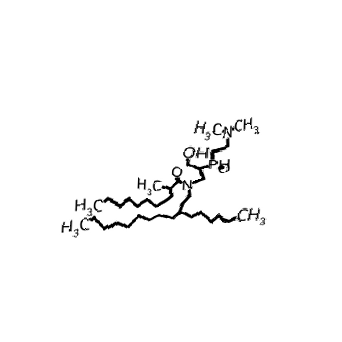 CCCCCCCCCC(CCCCCC)CCN(CC(CO)[PH](=O)CCN(C)C)C(=O)C(C)CCCCCCCC